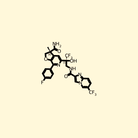 C[C@]1(C(N)=O)COc2c1cc([C@@](O)(CNC(=O)c1cn3cc(C(F)(F)F)ccc3n1)C(F)(F)F)nc2-c1ccc(F)cc1